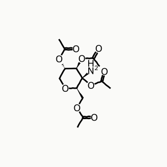 CC(=O)OC[C@H]1OC[C@H](OC(C)=O)[C@@H](OC(C)=O)[C@]1(N)OC(C)=O